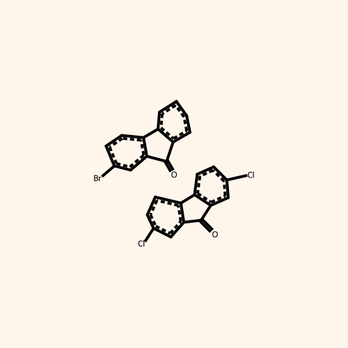 O=C1c2cc(Cl)ccc2-c2ccc(Cl)cc21.O=C1c2ccccc2-c2ccc(Br)cc21